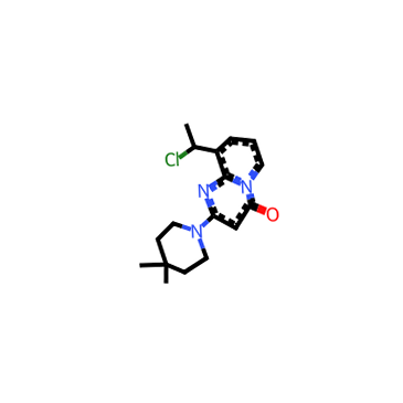 CC(Cl)c1cccn2c(=O)cc(N3CCC(C)(C)CC3)nc12